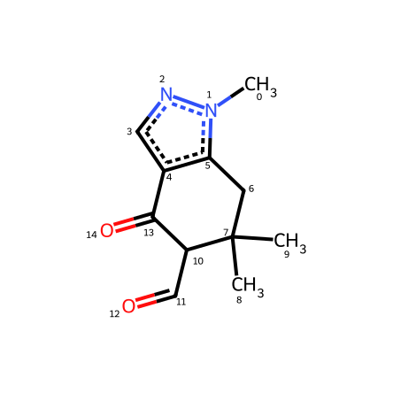 Cn1ncc2c1CC(C)(C)C(C=O)C2=O